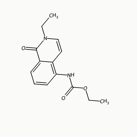 CCOC(=O)Nc1cccc2c(=O)n(CC)ccc12